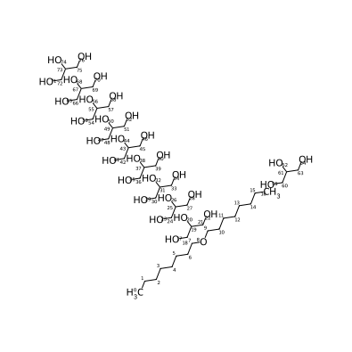 CCCCCCCCOCCCCCCCC.OCC(O)CO.OCC(O)CO.OCC(O)CO.OCC(O)CO.OCC(O)CO.OCC(O)CO.OCC(O)CO.OCC(O)CO.OCC(O)CO.OCC(O)CO